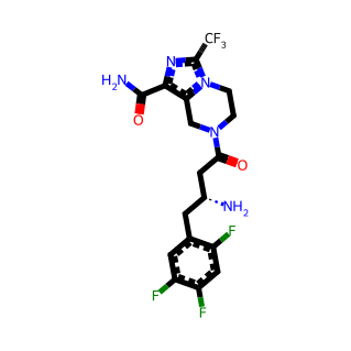 NC(=O)c1nc(C(F)(F)F)n2c1CN(C(=O)C[C@H](N)Cc1cc(F)c(F)cc1F)CC2